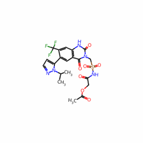 CC(=O)OCC(=O)NS(=O)(=O)Cn1c(=O)[nH]c2cc(C(F)(F)F)c(-c3ccnn3C(C)C)cc2c1=O